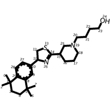 CC1(C)CCC(C)(C)c2cc(C3CSC(C4CCCN(CCCCO)C4)=N3)ccc21